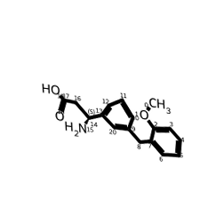 COc1ccccc1Cc1cccc([C@@H](N)CC(=O)O)c1